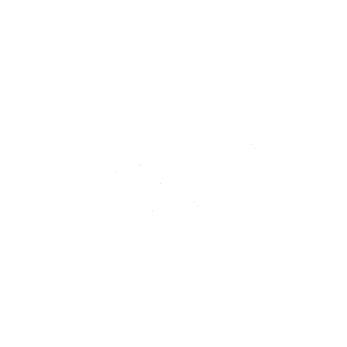 CC(C)(C)OC(=O)C12C=CC3SC3C1S2